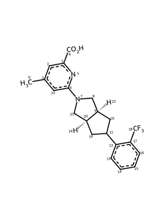 Cc1cc(C(=O)O)nc(N2C[C@H]3CC(c4ccccc4C(F)(F)F)C[C@H]3C2)c1